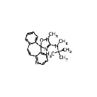 CN1OC2(N=C1N(C)C(C)(C)C)c1ccccc1C=Cc1ncccc12